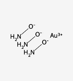 N[O-].N[O-].N[O-].[Au+3]